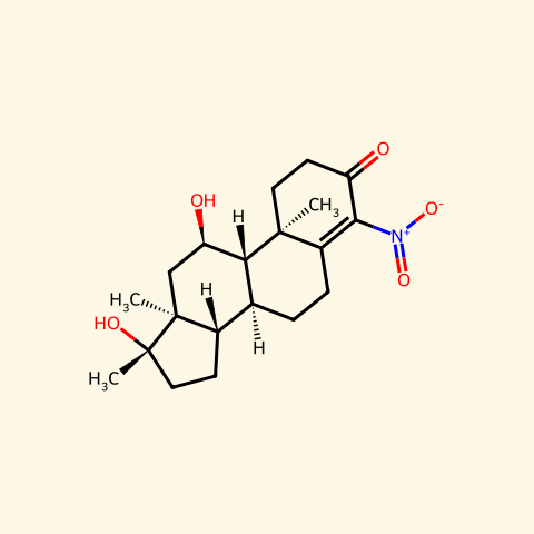 C[C@]12CCC(=O)C([N+](=O)[O-])=C1CC[C@@H]1[C@@H]2[C@H](O)C[C@@]2(C)[C@H]1CC[C@]2(C)O